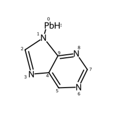 [PbH][n]1cnc2cncnc21